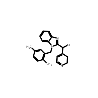 Cc1ccc(C)c(Cn2c(C(O)C3=CC=NCC3)nc3ccccc32)c1